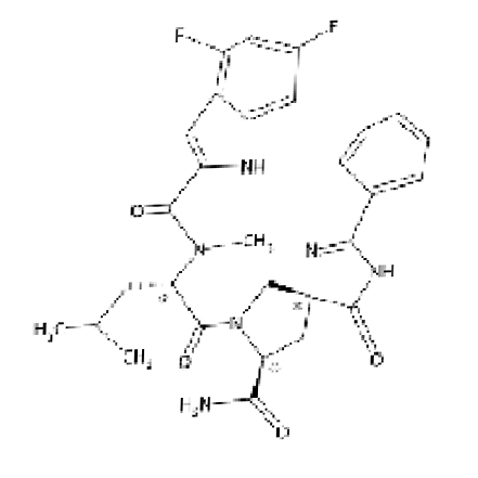 CC(C)C[C@@H](C(=O)N1C[C@@]2(C[C@H]1C(N)=O)N=C(c1ccccc1)NC2=O)N(C)C(=O)c1cc2c(F)cc(F)cc2[nH]1